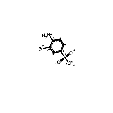 Nc1ccc(S(=O)(=O)C(F)(F)F)cc1Br